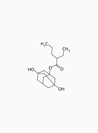 CCCC(CC)C(=O)OC12CC3CC(O)(CC(O)(C3)C1)C2